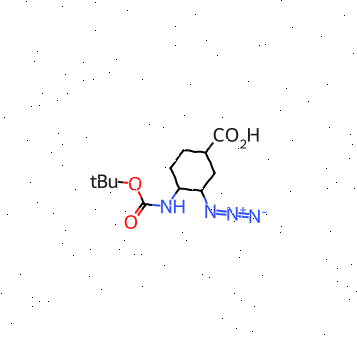 CC(C)(C)OC(=O)NC1CCC(C(=O)O)CC1N=[N+]=[N-]